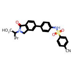 CC(C)C(C(=O)O)N1Cc2cc(-c3ccc(NS(=O)(=O)c4ccc(C#N)cc4)cc3)ccc2C1=O